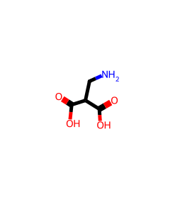 NCC(C(=O)O)C(=O)O